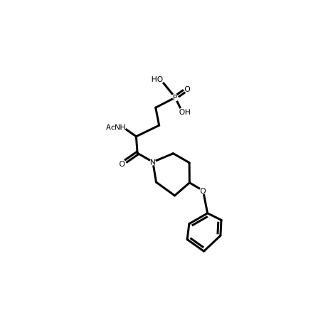 CC(=O)NC(CCP(=O)(O)O)C(=O)N1CCC(Oc2ccccc2)CC1